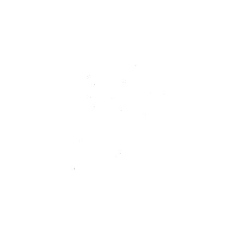 CCC(C)Oc1ccc(/C(=N/C)SC(C)c2cccc3c2CCC3)cc1C